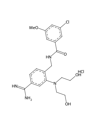 COc1cc(Cl)cc(C(=O)NCc2ccc(C(=N)N)cc2N(CCO)CCO)c1.Cl